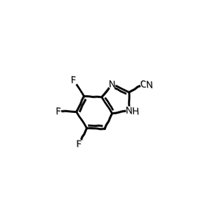 N#Cc1nc2c(F)c(F)c(F)cc2[nH]1